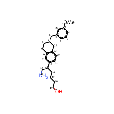 COc1cccc(C[C@H]2CCc3cc([C@H](CN)CCCCO)ccc3C2)c1